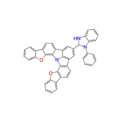 c1ccc(N2c3ccccc3NC2c2cc3c4ccc5c6ccccc6oc5c4n4c3c(c2)c2ccc3c5ccccc5oc3c24)cc1